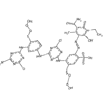 CCn1c(O)c(N=Nc2cc(Nc3nc(Cl)nc(Nc4ccc(SOOO)c(Nc5nc(N)nc(Cl)n5)c4)n3)c(SOOO)cc2S(=O)(=O)O)c(C)c(C(N)=O)c1=O